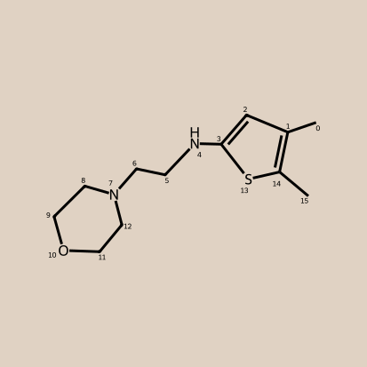 Cc1cc(NCCN2CCOCC2)sc1C